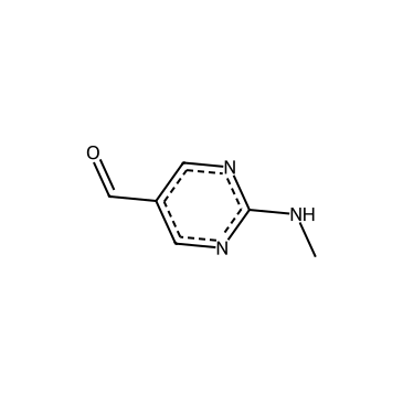 CNc1ncc(C=O)cn1